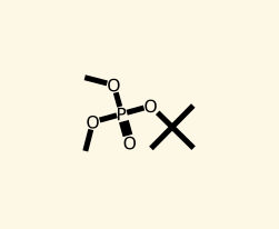 COP(=O)(OC)OC(C)(C)C